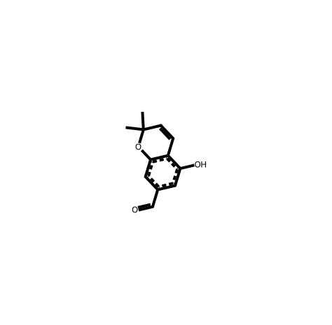 CC1(C)C=Cc2c(O)cc(C=O)cc2O1